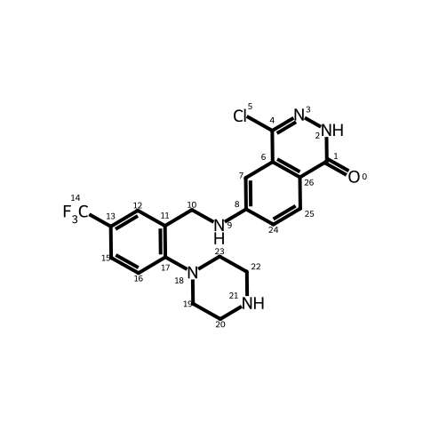 O=c1[nH]nc(Cl)c2cc(NCc3cc(C(F)(F)F)ccc3N3CCNCC3)ccc12